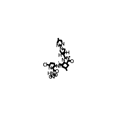 Cc1cnc(N2C[C@@H]3C(c4nc5c([C@@H](C)Nc6ccc(Cl)nc6C(=O)NS(C)(=O)=O)cc(C)cc5c(=O)n4C)[C@@H]3C2)nc1